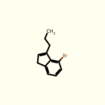 CCCC1=CCc2cccc(Br)c21